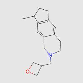 CC1CCc2cc3c(cc21)CN(CC1COC1)CC3